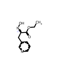 CCOC(=O)/C(Cc1cccnc1)=N\O